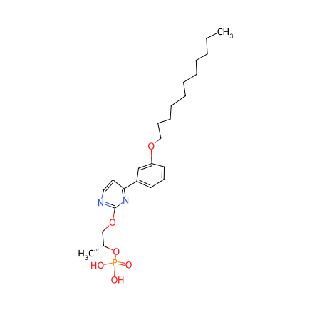 CCCCCCCCCCCOc1cccc(-c2ccnc(OC[C@@H](C)OP(=O)(O)O)n2)c1